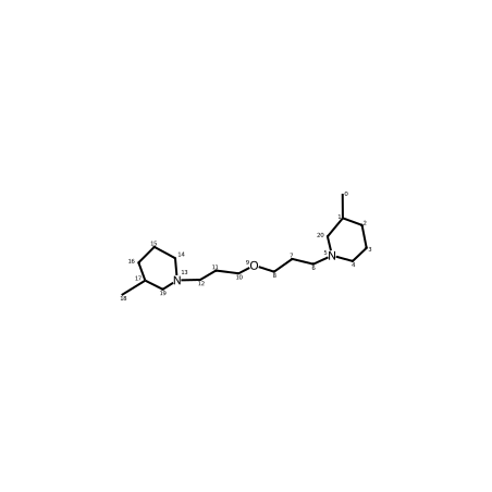 CC1CCCN(CCCOCCCN2CCCC(C)C2)C1